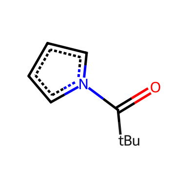 CC(C)(C)C(=O)n1cccc1